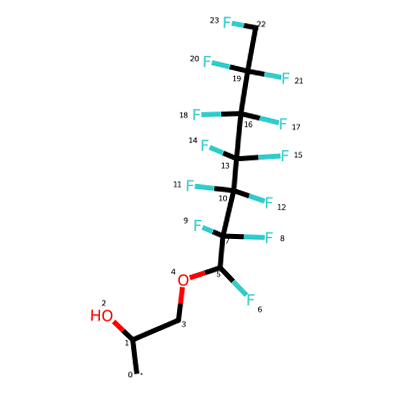 [CH2]C(O)COC(F)C(F)(F)C(F)(F)C(F)(F)C(F)(F)C(F)(F)CF